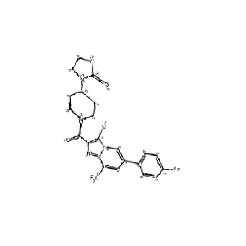 O=C(c1nc2c(C(F)(F)F)cc(-c3ccc(F)cc3)cn2c1Cl)N1CCC(N2CCOC2=O)CC1